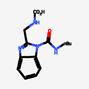 CCCCNC(=O)n1c(CNC(=O)O)nc2ccccc21